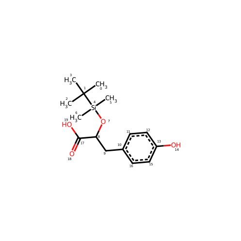 CC(C)(C)[Si](C)(C)OC(Cc1ccc(O)cc1)C(=O)O